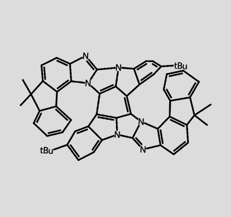 CC(C)(C)c1ccc2c(c1)c1c3c(c4c5cc(C(C)(C)C)ccc5n5c4c1n1c4c6c(ccc4nc51)C(C)(C)c1ccccc1-6)n1c4c5c(ccc4nc1n23)C(C)(C)c1ccccc1-5